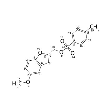 COc1ccc2c(c1)C[C@@H](COS(=O)(=O)c1ccc(C)cc1)O2